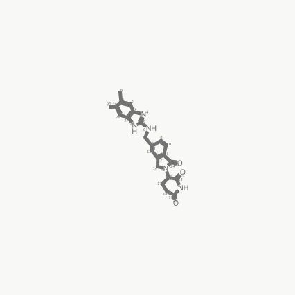 Cc1cc2nc(NCc3ccc4c(c3)CN(C3CCC(=O)NC3=O)C4=O)[nH]c2cc1C